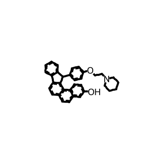 Oc1ccc2c(ccc3ccc4c(c32)C(c2ccc(OCCN3CCCCC3)cc2)c2ccccc2-4)c1